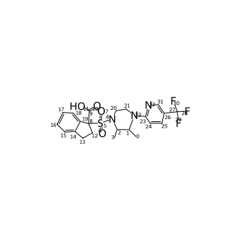 CC1C(C)N(S(=O)(=O)C2(C(=O)O)CCc3ccccc32)CCN1c1ccc(C(F)(F)F)cn1